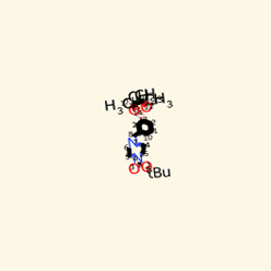 CC(C)(C)OC(=O)N1CCN(Cc2cccc(B3OC(C)(C)C(C)(C)O3)c2)CC1